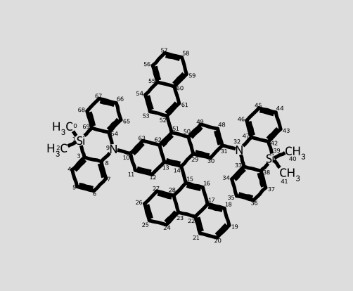 C[Si]1(C)c2ccccc2N(c2ccc3c(-c4cc5ccccc5c5ccccc45)c4cc(N5c6ccccc6[Si](C)(C)c6ccccc65)ccc4c(-c4ccc5ccccc5c4)c3c2)c2ccccc21